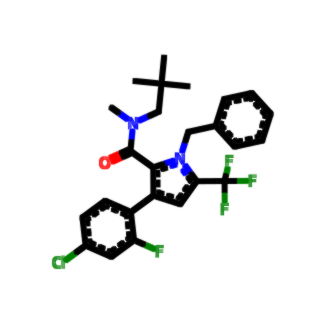 CN(CC(C)(C)C)C(=O)c1c(-c2ccc(Cl)cc2F)cc(C(F)(F)F)n1Cc1ccccc1